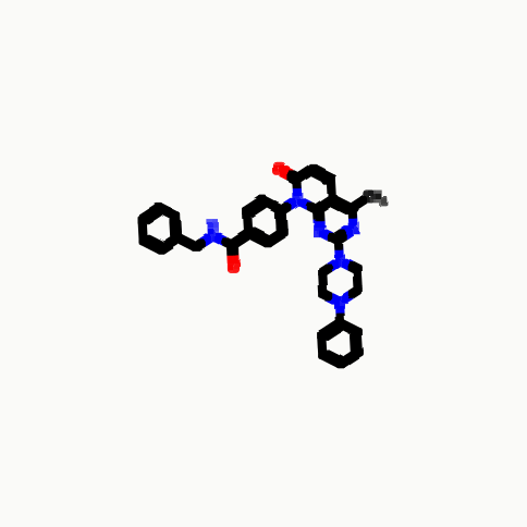 Cc1nc(N2CCN(c3ccccc3)CC2)nc2c1ccc(=O)n2-c1ccc(C(=O)NCc2ccccc2)cc1